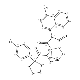 N#Cc1ncc(N2C(=O)C3CN4CC(C(=O)C5(c6ccc(Cl)cc6)CCCC5)[N+]3(C4)C2=O)c2ccccc12